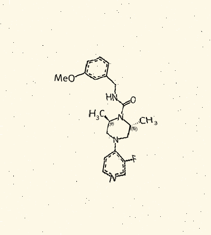 COc1cccc(CNC(=O)N2[C@H](C)CN(c3ccncc3F)C[C@H]2C)c1